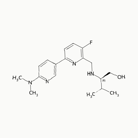 CC(C)[C@H](CO)NCc1nc(-c2ccc(N(C)C)nc2)ccc1F